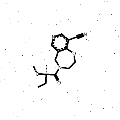 CC[C@@](C)(OC)C(=O)N1CCOc2c(C#N)cncc2C1